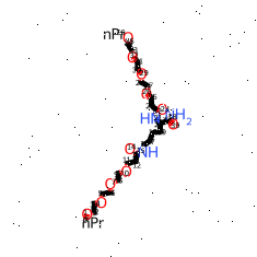 CCCOCCOCCOCCOCCC(=O)NCCCCC(NC(=O)CCOCCOCCOCCOCCC)C(N)=O